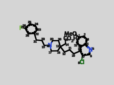 COc1ccc2ncc(Cl)c(CCCC3(CC(=O)O)CCN(CCCc4cccc(F)c4)CC3)c2c1